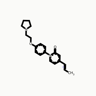 C/C=C/c1ccn(-c2ccc(OCCN3CCCC3)cc2)c(=O)c1